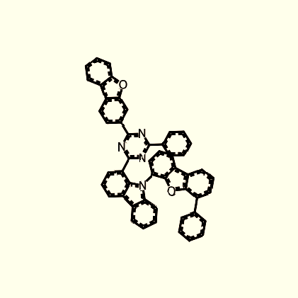 c1ccc(-c2nc(-c3ccc4c(c3)oc3ccccc34)nc(-c3cccc4c5ccccc5n(-c5cccc6c5oc5c(-c7ccccc7)cccc56)c34)n2)cc1